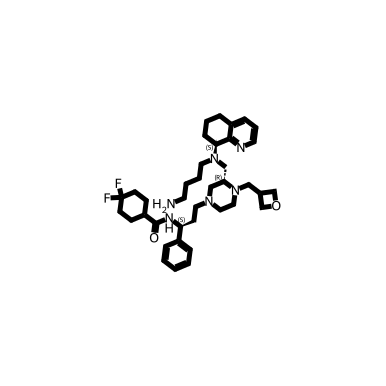 NCCCCN(C[C@H]1CN(CC[C@H](NC(=O)C2CCC(F)(F)CC2)c2ccccc2)CCN1CC1COC1)[C@H]1CCCc2cccnc21